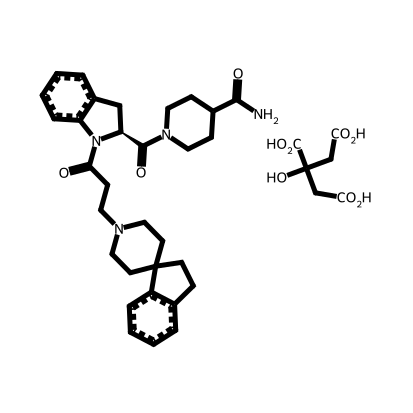 NC(=O)C1CCN(C(=O)[C@@H]2Cc3ccccc3N2C(=O)CCN2CCC3(CCc4ccccc43)CC2)CC1.O=C(O)CC(O)(CC(=O)O)C(=O)O